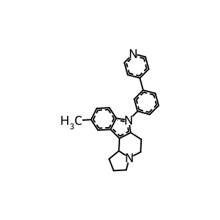 Cc1ccc2c(c1)c1c(n2-c2cccc(-c3ccncc3)c2)CCN2CCCC12